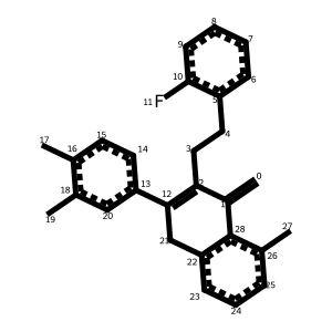 C=C1C(CCc2ccccc2F)=C(c2ccc(C)c(C)c2)Cc2cccc(C)c21